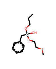 CCCO[Si](O)(Cc1ccccc1)OCCOC